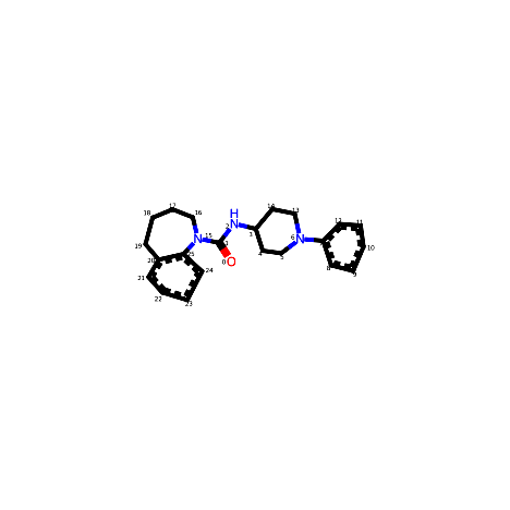 O=C(NC1CCN(c2ccccc2)CC1)N1CCCCc2ccccc21